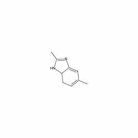 CC1=CCC2NC(C)=NC2=C1